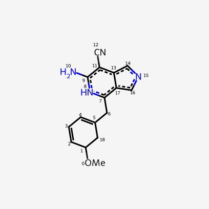 COC1C=CC=C(Cc2[nH]c(N)c(C#N)c3cncc2-3)C1